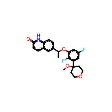 COC1(c2cc(F)cc(OC(C)c3ccc4[nH]c(=O)ccc4c3)c2F)CCOCC1